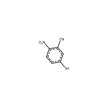 N#Cc1cc(S)ccc1[N+](=O)[O-]